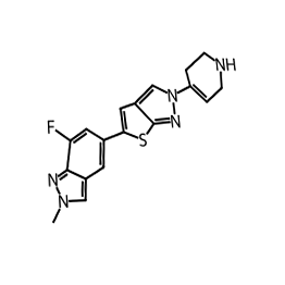 Cn1cc2cc(-c3cc4cn(C5=CCNCC5)nc4s3)cc(F)c2n1